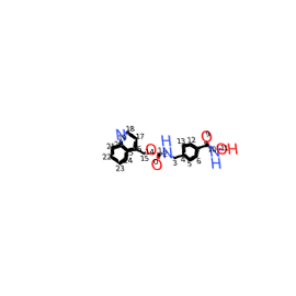 O=C(NCc1ccc(C(=O)NO)cc1)OCc1ccnc2ccccc12